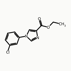 CCOC(=O)c1cn(-c2cccc(Cl)c2)cn1